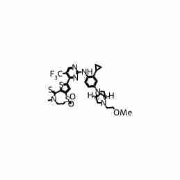 COCCN1C[C@H]2C[C@@H]1CN2c1ccc(Nc2ncc(C(F)(F)F)c(-c3cc4c(s3)C(=S)N(C)CCS4(=O)=O)n2)c(C2CC2)c1